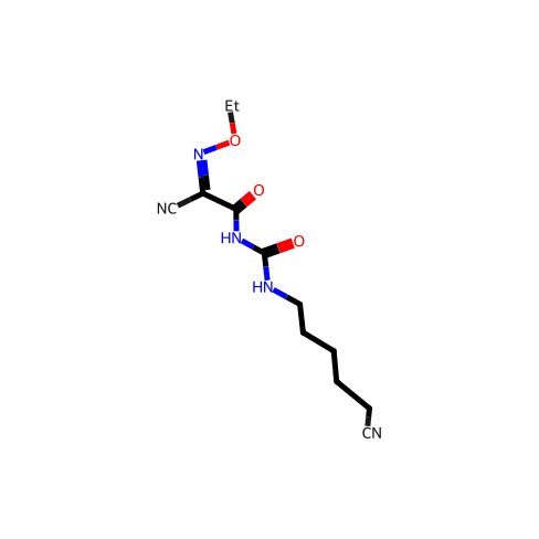 CCON=C(C#N)C(=O)NC(=O)NCCCCCC#N